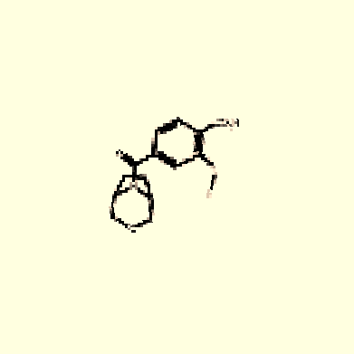 CCOc1cc(C(=O)N2C3CCC2COC3)ccc1C(=O)O